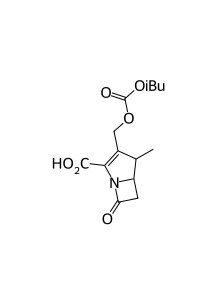 CC(C)COC(=O)OCC1=C(C(=O)O)N2C(=O)CC2C1C